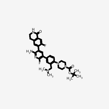 CN(C)Cc1cc(-c2cc(-c3cc4c(cc3F)C(=O)NCC4)c(N)nc2F)ccc1N1CCN(C(=O)OC(C)(C)C)CC1